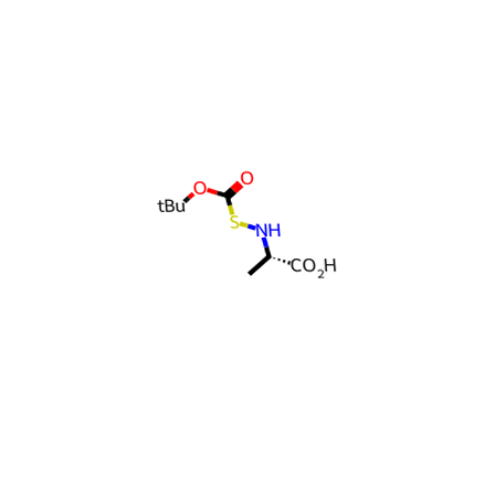 C[C@H](NSC(=O)OC(C)(C)C)C(=O)O